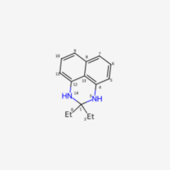 CCC1(CC)Nc2cccc3cccc(c23)N1